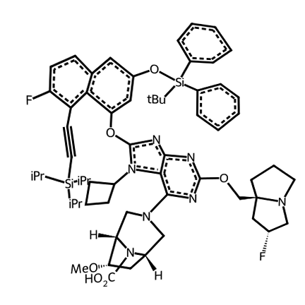 CO[C@H]1C[C@H]2CN(c3nc(OC[C@@]45CCCN4C[C@H](F)C5)nc4nc(Oc5cc(O[Si](c6ccccc6)(c6ccccc6)C(C)(C)C)cc6ccc(F)c(C#C[Si](C(C)C)(C(C)C)C(C)C)c56)n(C5CCC5)c34)C[C@@H]1N2C(=O)O